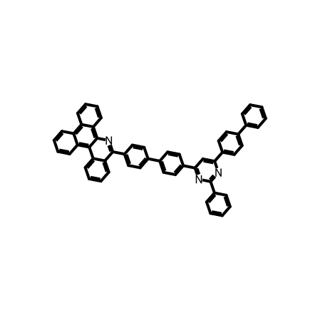 c1ccc(-c2ccc(-c3cc(-c4ccc(-c5ccc(-c6nc7c8ccccc8c8ccccc8c7c7ccccc67)cc5)cc4)nc(-c4ccccc4)n3)cc2)cc1